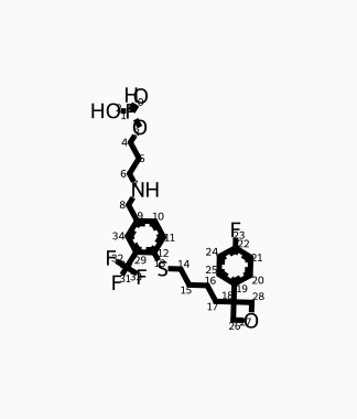 O=[PH](O)OCCCNCc1ccc(SCCCCC2(c3ccc(F)cc3)COC2)c(C(F)(F)F)c1